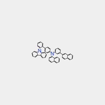 c1cc(-c2ccc3ccccc3c2)cc(N(c2ccc(-c3ccccc3-n3c4ccccc4c4ccccc43)cc2)c2cccc3ccccc23)c1